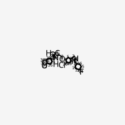 C[C@@H](COc1cc2cnn(-c3ccc(F)cc3)c2cc1Cl)N[S+]([O-])c1ccc2c(c1)CCO2